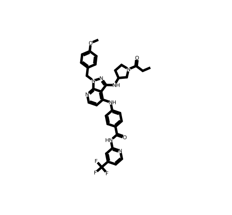 CCC(=O)N1CCC(Nc2nn(Cc3ccc(OC)cc3)c3nccc(Nc4ccc(C(=O)Nc5cc(C(F)(F)F)ccn5)cc4)c23)C1